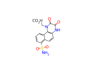 NS(=O)(=O)c1cccc2c1ccc1[nH]c(=O)c(=O)n(CC(=O)O)c12